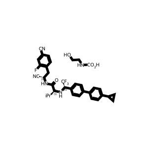 CC(C)[C@H](N[C@@H](c1ccc(-c2ccc(C3CC3)cc2)cc1)C(F)(F)F)C(=O)N[C@H](C#N)Cc1ccc(C#N)cc1F.O=C(O)NCCO